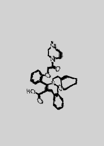 CN1CCN(C(=O)COc2ccccc2C2C(C(=O)O)c3ccccc3C(=O)N2CCC2=CCCCC2)CC1